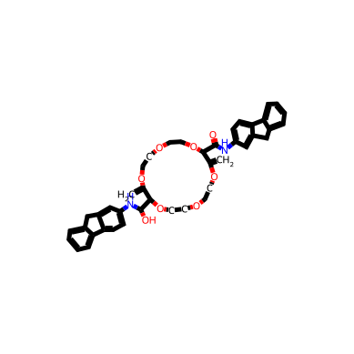 C=C1OCCOCCOC(C(O)Nc2ccc3c(c2)Cc2ccccc2-3)C(=C)OCCOCCOC1C(=O)Nc1ccc2c(c1)Cc1ccccc1-2